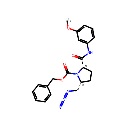 [N-]=[N+]=NC[C@H]1CC[C@@H](C(=O)Nc2cccc(OC(F)(F)F)c2)N1C(=O)OCc1ccccc1